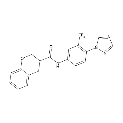 O=C(Nc1ccc(-n2cncn2)c(C(F)(F)F)c1)C1COc2ccccc2C1